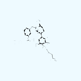 CCOC(=O)Nc1cccc(Cn2nc(-c3cc(F)c(OCCCCO)c(F)c3)ccc2=O)c1